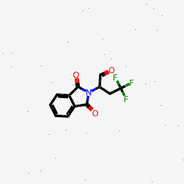 O=CC(CC(F)(F)F)N1C(=O)c2ccccc2C1=O